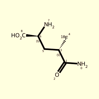 NC(=O)[C@@H]([18F])C[C@H](N)C(=O)O